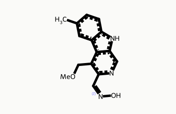 COCc1c(/C=N\O)ncc2[nH]c3ccc(C)cc3c12